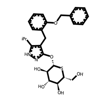 CC(C)c1[nH]nc(O[C@@H]2S[C@H](CO)[C@@H](O)[C@H](O)[C@H]2O)c1Cc1ccccc1OCc1ccccc1